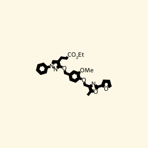 CCOC(=O)CCc1cn(-c2ccccc2)nc1OCc1ccc(OCc2nc(-c3ccco3)oc2C)c(OC)c1